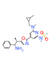 CC1CC1CN(C)c1cc(-c2ncc([C@H](C)C(N)c3ccccc3)o2)cc(N(C)S(C)(=O)=O)n1